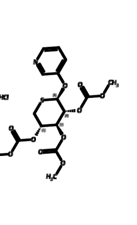 COC(=O)O[C@@H]1[C@@H](OC(=O)OC)[C@H](OC(=O)OC)CS[C@H]1Oc1cccnc1.Cl